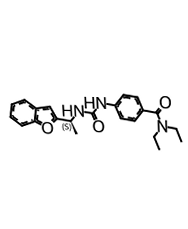 CCN(CC)C(=O)c1ccc(NC(=O)N[C@@H](C)c2cc3ccccc3o2)cc1